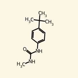 CNC(=O)Nc1ccc(C(C)(C)C)cc1